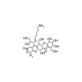 C[C@H](O[C@@H]1OC(CO)[C@H](O[C@H]2OC(CO)[C@H](O)[C@H](O)C2O)C(O)[C@@H]1O)C(C[N+](=O)[O-])O[C@@H](OCCCCCN)[C@@H](O)CO